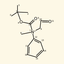 CC(C)(C)OC(=O)[N+](C)(C[C]=O)c1ccccc1